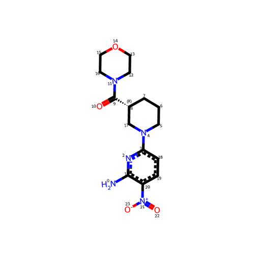 Nc1nc(N2CCC[C@@H](C(=O)N3CCOCC3)C2)ccc1[N+](=O)[O-]